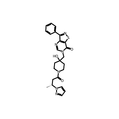 C[C@H](CC(=O)N1CCC(O)(Cn2cnc3c(-c4ccccc4)nsc3c2=O)CC1)n1cccn1